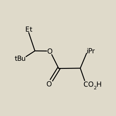 CCC(OC(=O)C(C(=O)O)C(C)C)C(C)(C)C